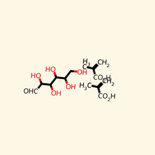 C=C(C)C(=O)O.C=C(C)C(=O)O.O=CC(O)C(O)C(O)C(O)CO